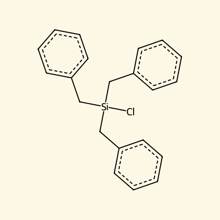 Cl[Si](Cc1ccccc1)(Cc1ccccc1)Cc1ccccc1